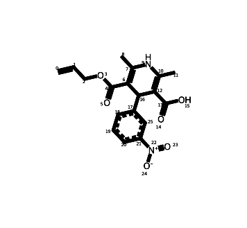 C=CCOC(=O)C1=C(C)NC(C)=C(C(=O)O)C1c1cccc([N+](=O)[O-])c1